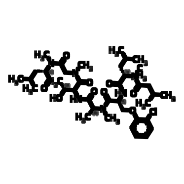 CC(C)CC(=O)N(C)[C@@H](CC(C)C)C(=O)N[C@@H](COc1ccccc1Cl)C(=O)N(C)[C@@H](C)C(=O)NC(C(=O)N(C)CC(=O)N(C)[C@H](C=O)CC(C)C)[C@@H](C)O